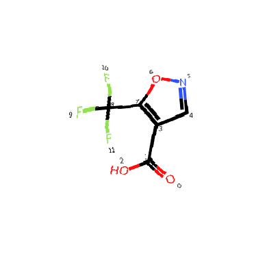 O=C(O)c1cnoc1C(F)(F)F